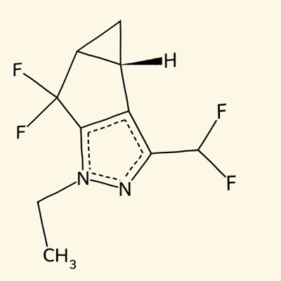 CCn1nc(C(F)F)c2c1C(F)(F)C1C[C@H]21